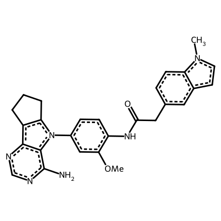 COc1cc(-n2c3c(c4ncnc(N)c42)CCC3)ccc1NC(=O)Cc1ccc2c(ccn2C)c1